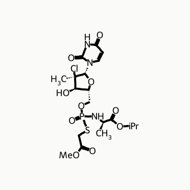 COC(=O)CSP(=O)(N[C@H](C)C(=O)OC(C)C)OC[C@H]1O[C@@H](n2ccc(=O)[nH]c2=O)[C@](C)(Cl)[C@@H]1O